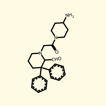 NC1CCN(C(=O)CN2CCCC(c3ccccc3)(c3ccccc3)C2C=O)CC1